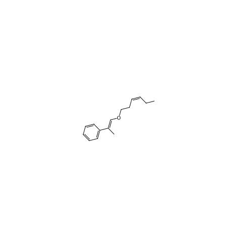 CC/C=C\CCOC=C(C)c1ccccc1